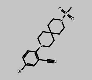 CS(=O)(=O)N1CCC2(CCN(c3ccc(Br)cc3C#N)CC2)CC1